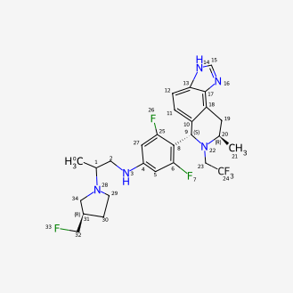 CC(CNc1cc(F)c([C@@H]2c3ccc4[nH]cnc4c3C[C@@H](C)N2CC(F)(F)F)c(F)c1)N1CC[C@@H](CF)C1